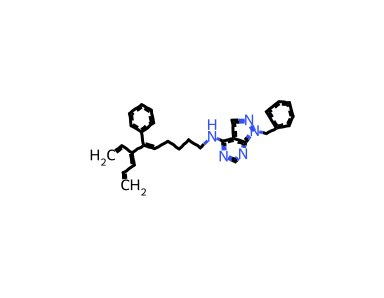 C=C/C=C(C=C)/C(=C/CCCCNc1ncnc2c1cnn2Cc1ccccc1)c1ccccc1